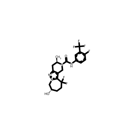 C[C@@H]1Cc2nn3c(c2CN1C(=O)Nc1ccc(F)c(C(F)(F)F)c1)C(F)(F)CC[C@H](O)C3